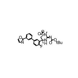 CN1/C(=N/C(=O)OC(C)(C)C)N[C@](C)(c2cc(-c3cccc(-c4ncco4)c3)ccc2F)CS1(=O)=O